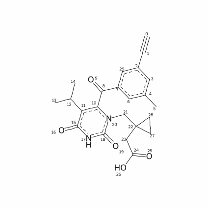 C#Cc1cc(C)cc(C(=O)c2c(C(C)C)c(=O)[nH]c(=O)n2CC2(CC(=O)O)CC2)c1